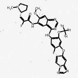 [2H]C([2H])([2H])Oc1cc(Oc2ccn3ncnc3c2)c(F)cc1Nc1ncnc2cc(OC)c(NC(=O)/C(F)=C\[C@H]3CCCN3C)cc12